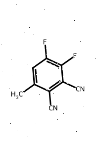 Cc1cc(F)c(F)c(C#N)c1C#N